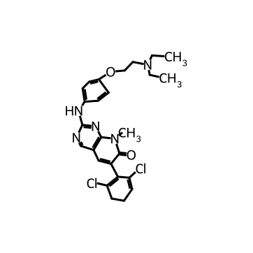 CCN(CC)CCOc1ccc(Nc2ncc3cc(C4=C(Cl)CCC=C4Cl)c(=O)n(C)c3n2)cc1